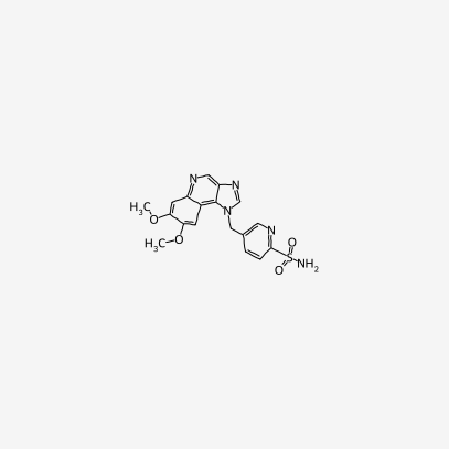 COc1cc2ncc3ncn(Cc4ccc(S(N)(=O)=O)nc4)c3c2cc1OC